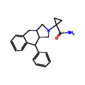 NC(=O)C1(N2CC3Cc4ccccc4C(c4ccccc4)C3C2)CC1